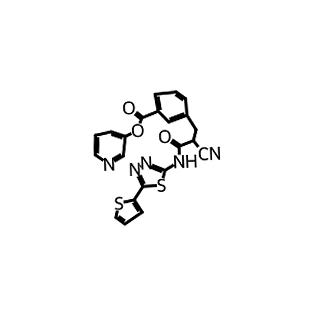 N#CC(Cc1cccc(C(=O)Oc2cccnc2)c1)C(=O)Nc1nnc(-c2cccs2)s1